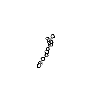 c1ccc(-c2c3ccccc3nc3c2ccc2ccc(-c4ccc5cc6cc(-c7ccc(-c8ccc9ccccc9n8)cc7)ccc6cc5c4)nc23)cc1